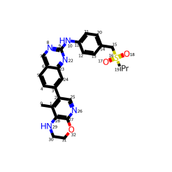 Cc1c(-c2ccc3cnc(Nc4ccc(CS(=O)(=O)C(C)C)cc4)nc3c2)cnc2c1NCCO2